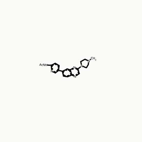 CC(=O)Nc1ccc(-c2ccc3ncc(N4CCN(C)CC4)nc3c2)cn1